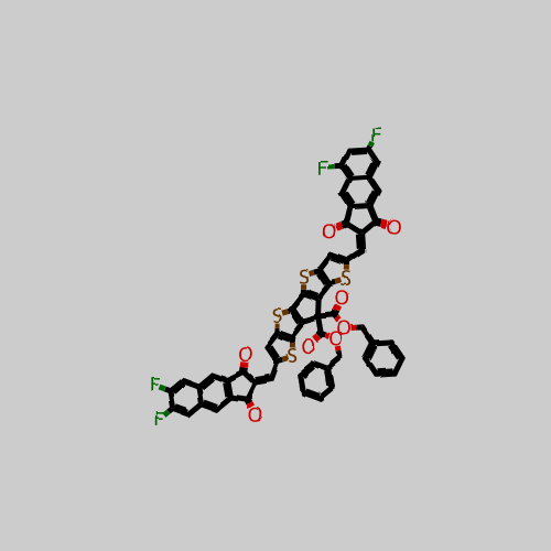 O=C1C(=Cc2cc3sc4c(c3s2)C(C(=O)OCc2ccccc2)(C(=O)OCc2ccccc2)c2c-4sc3cc(/C=C4/C(=O)c5cc6cc(F)cc(F)c6cc5C4=O)sc23)C(=O)c2cc3cc(F)c(F)cc3cc21